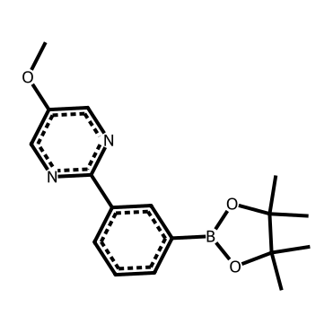 COc1cnc(-c2cccc(B3OC(C)(C)C(C)(C)O3)c2)nc1